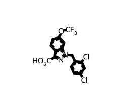 O=C(O)c1nn(Cc2ccc(Cl)cc2Cl)c2cc(OC(F)(F)F)ccc12